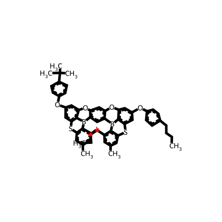 CCCCc1ccc(Oc2cc3c4c(c2)Sc2cc(C)cc(CCCC)c2B4c2cc4c(cc2O3)Oc2cc(Oc3ccc(C(C)(C)C)cc3)cc3c2B4c2c(I)cc(C)cc2S3)cc1